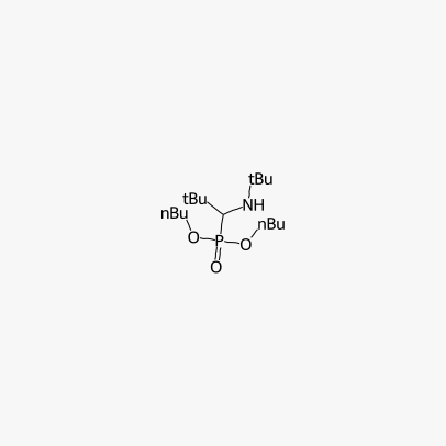 CCCCOP(=O)(OCCCC)C(NC(C)(C)C)C(C)(C)C